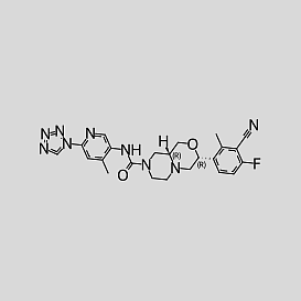 Cc1cc(-n2cnnn2)ncc1NC(=O)N1CCN2C[C@@H](c3ccc(F)c(C#N)c3C)OC[C@H]2C1